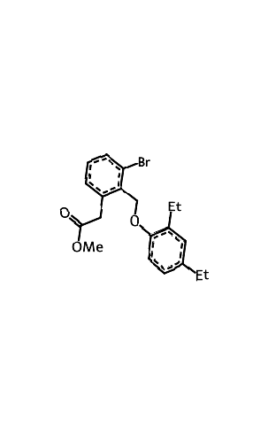 CCc1ccc(OCc2c(Br)cccc2CC(=O)OC)c(CC)c1